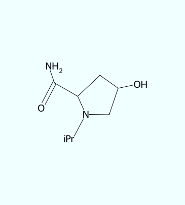 CC(C)N1CC(O)CC1C(N)=O